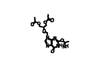 CC(=N)Oc1nc2c(ncn2COC(COC(C)=O)COC(C)=O)c(=O)[nH]1